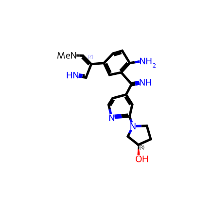 CN/C=C(\C=N)c1ccc(N)c(C(=N)c2ccnc(N3CC[C@@H](O)C3)c2)c1